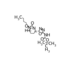 CCCCON1C(=O)N2C[C@@H]1CC[C@H]2c1nnc(NC(=O)OC(C)(C)C)o1